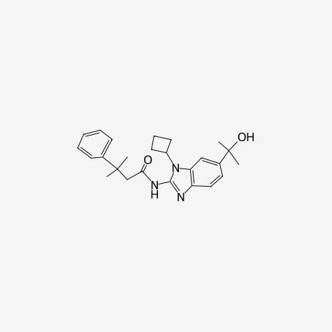 CC(C)(O)c1ccc2nc(NC(=O)CC(C)(C)c3ccccc3)n(C3CCC3)c2c1